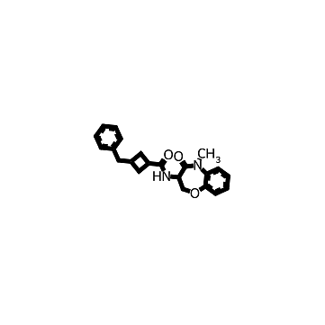 CN1C(=O)C(NC(=O)C2CC(Cc3ccccc3)C2)COc2ccccc21